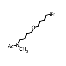 CC(=O)N(C)CCCCOCCCCC(C)C